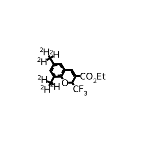 [2H]C([2H])([2H])c1cc2c(c(C([2H])([2H])[2H])c1)OC(C(F)(F)F)C(C(=O)OCC)=C2